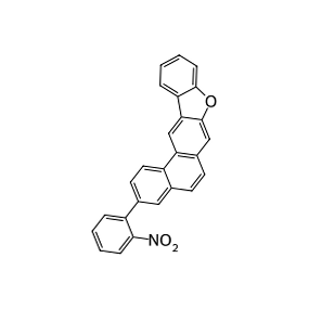 O=[N+]([O-])c1ccccc1-c1ccc2c(ccc3cc4oc5ccccc5c4cc32)c1